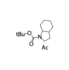 CC(=O)[C@H]1CC2CCCCC2N1C(=O)OC(C)(C)C